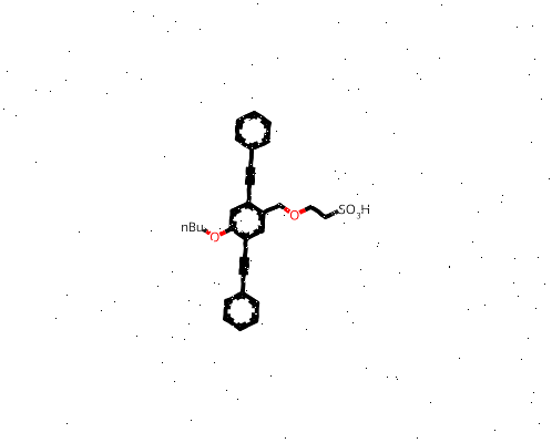 CCCCOc1cc(C#Cc2ccccc2)c(COCCS(=O)(=O)O)cc1C#Cc1ccccc1